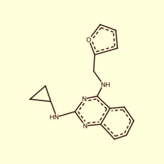 c1coc(CNc2nc(NC3CC3)nc3ccccc23)c1